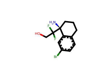 N[C@@]1(C(F)(F)CO)CCCc2ccc(Br)cc21